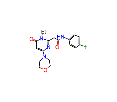 CCn1c(CC(=O)Nc2ccc(F)cc2)nc(N2CCOCC2)cc1=O